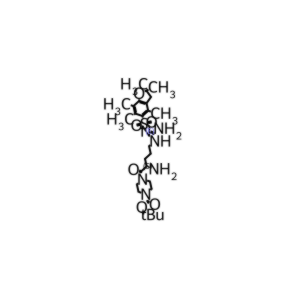 Cc1c(C)c(S(=O)(=O)/N=C(\N)NCCC[C@H](N)C(=O)N2CCN(C(=O)OC(C)(C)C)CC2)c(C)c2c1OC(C)(C)C2